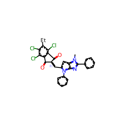 CCc1c(Cl)c(Cl)c2c(c1Cl)C(=O)/C(=C\c1cc3c(nc(-c4ccccc4)n3C)n1-c1ccccc1)C2=O